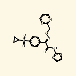 O=C(Nc1nccs1)/C(=N/OCc1ncccn1)c1ccc(S(=O)(=O)C2CC2)cc1